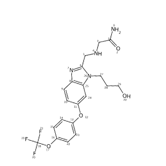 NC(=O)CNCc1nc2ccc(Oc3ccc(OC(F)(F)F)cc3)cc2n1CCCO